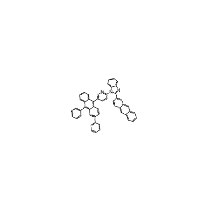 c1ccc(-c2ccc3c(-c4ccc(-n5c(-c6ccc7cc8ccccc8cc7c6)nc6ccccc65)nc4)c4ccccc4c(-c4ccccc4)c3c2)cc1